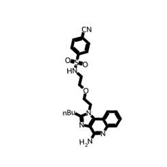 CCCCc1nc2c(N)nc3ccccc3c2n1CCOCCNS(=O)(=O)c1ccc(C#N)cc1